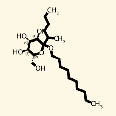 CCCCCCCCCCOC1(C(C)CCCC)O[C@H](CO)[C@@H](O)[C@H](O)[C@H]1O